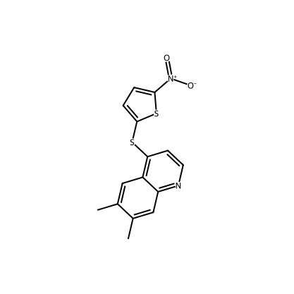 Cc1cc2nccc(Sc3ccc([N+](=O)[O-])s3)c2cc1C